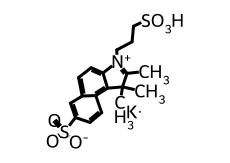 CC1=[N+](CCCS(=O)(=O)O)c2ccc3cc(S(=O)(=O)[O-])ccc3c2C1(C)C.[K]